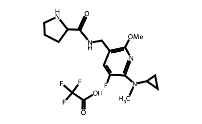 COc1nc(N(C)C2CC2)c(F)cc1CNC(=O)C1CCCN1.O=C(O)C(F)(F)F